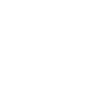 c1ccc2c(c1)c1ccccc1n2-c1nccc2c1ccn2-c1ccc2c(n1)sc1nc(-n3ccc4c(-n5c6ccccc6c6ccccc65)nccc43)ccc12